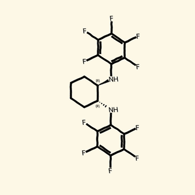 Fc1c(F)c(F)c(N[C@@H]2CCCC[C@H]2Nc2c(F)c(F)c(F)c(F)c2F)c(F)c1F